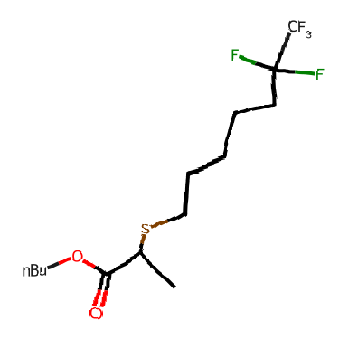 CCCCOC(=O)C(C)SCCCCCC(F)(F)C(F)(F)F